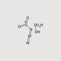 O=S(=O)(O)O.[N-]=[N+]=N[SH](=O)=O